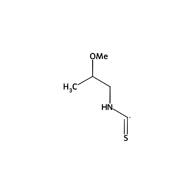 COC(C)CN[C]=S